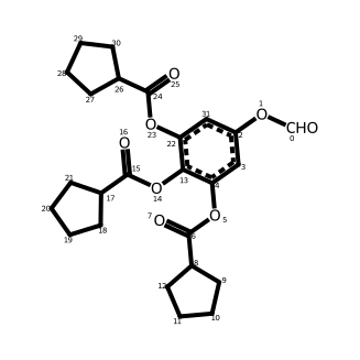 O=COc1cc(OC(=O)C2CCCC2)c(OC(=O)C2CCCC2)c(OC(=O)C2CCCC2)c1